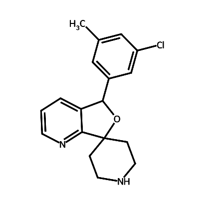 Cc1cc(Cl)cc(C2OC3(CCNCC3)c3ncccc32)c1